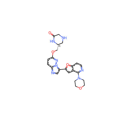 O=C1CNC[C@H](COc2ccc3ncc(-c4cc5c(N6CCOCC6)nccc5o4)n3n2)N1